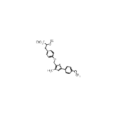 CCOC(=O)C(Cc1ccc(OCc2sc(-c3ccc(OC(F)(F)F)cc3)cc2C)cc1)OCC